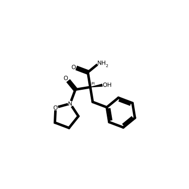 NC(=O)[C@](O)(Cc1ccccc1)C(=O)N1CCCO1